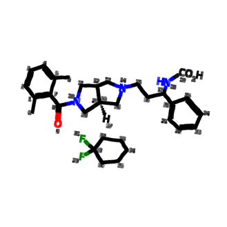 Cc1cccc(C)c1C(=O)N1CC2CN(CCC(NC(=O)O)c3ccccc3)C[C@H]2C1.FC1(F)CCCCC1